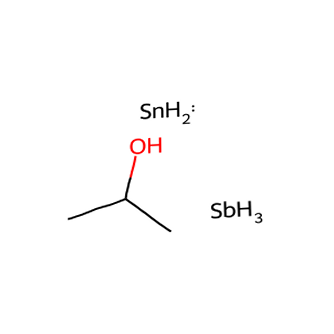 CC(C)O.[SbH3].[SnH2]